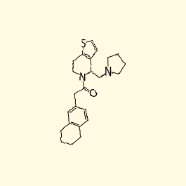 O=C(Cc1ccc2c(c1)CCCC2)N1CCc2sccc2C1CN1CCCC1